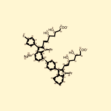 CC(C)n1c(/C=C/[C@H](O)C[C@H](O)CC(=O)[O-])c(-c2ccc(F)cc2)c2ccccc21.CC(C)n1c(/C=C/[C@H](O)C[C@H](O)CC(=O)[O-])c(-c2ccc(F)cc2)c2ccccc21.[Na+].[Na+]